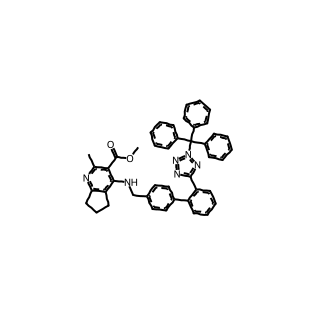 COC(=O)c1c(C)nc2c(c1NCc1ccc(-c3ccccc3-c3nnn(C(c4ccccc4)(c4ccccc4)c4ccccc4)n3)cc1)CCC2